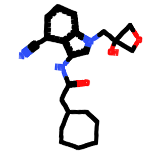 N#Cc1cccc2c1c(NC(=O)CC1CCCCCC1)cn2CC1(O)COC1